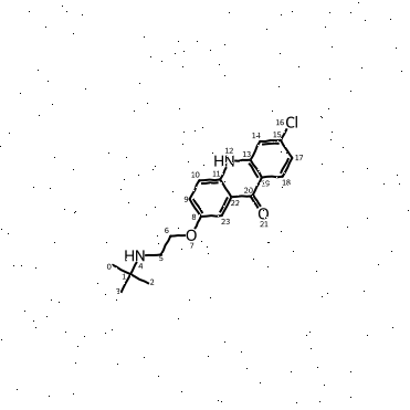 CC(C)(C)NCCOc1ccc2[nH]c3cc(Cl)ccc3c(=O)c2c1